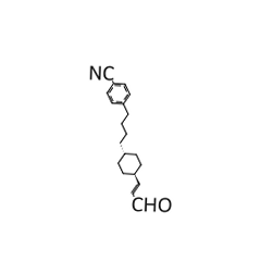 N#Cc1ccc(CCCC[C@H]2CC[C@H](C=CC=O)CC2)cc1